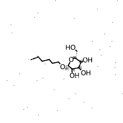 CCCCCCO[C@@H]1O[C@H](CO)[C@@H](O)[C@@H](O)[C@H]1O